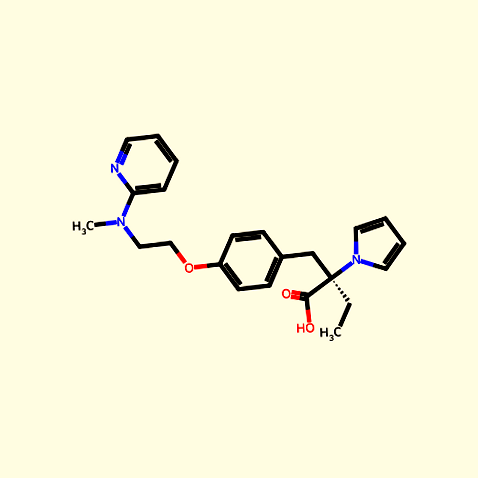 CC[C@@](Cc1ccc(OCCN(C)c2ccccn2)cc1)(C(=O)O)n1cccc1